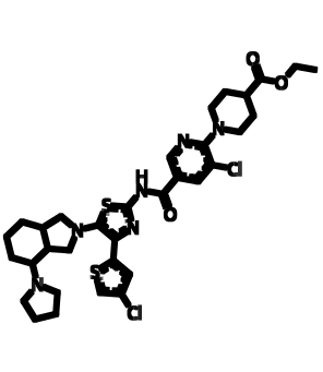 CCOC(=O)C1CCN(c2ncc(C(=O)Nc3nc(-c4cc(Cl)cs4)c(N4CC5CCCC(N6CCCC6)C5C4)s3)cc2Cl)CC1